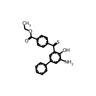 CCOC(=O)c1ccc(C(=S)c2cc(-c3ccccc3)cc(N)c2O)cc1